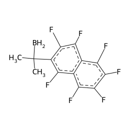 BC(C)(C)c1c(F)c(F)c2c(F)c(F)c(F)c(F)c2c1F